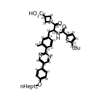 CCCCCCCOc1ccc(-c2cnc(-c3ccc(CC(NC(=O)c4ccc(C(C)(C)C)s4)C(=O)N4CC(C(=O)O)C4)cc3C)nc2)cc1